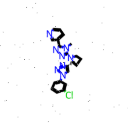 Cn1c(-c2cccnc2)nnc1N1CCC[C@@H]1c1cn(-c2cccc(Cl)c2)nn1